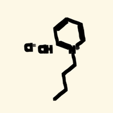 CCCC[n+]1ccccc1.Cl.[Cl-]